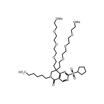 COCCOCCOCCOCCC1(CCOCCOCCOCCOC)CN(CCCCCC(=O)O)C(=O)c2cnc(S(=O)(=O)C3CCCC3)nc21